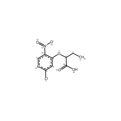 CCC(Oc1cc(Cl)ncc1[N+](=O)[O-])C(=O)O